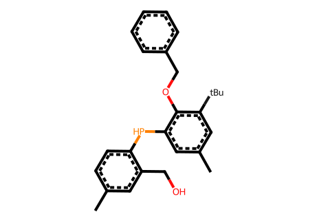 Cc1ccc(Pc2cc(C)cc(C(C)(C)C)c2OCc2ccccc2)c(CO)c1